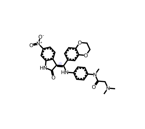 CN(C)CC(=O)N(C)c1ccc(N/C(=C2\C(=O)Nc3cc([N+](=O)[O-])ccc32)c2ccc3c(c2)OCCO3)cc1